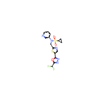 O=S(=O)(C1CC1)N(Cc1ncc(-c2nnc(C(F)F)o2)s1)c1cccnc1